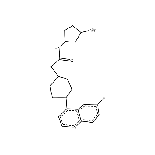 CCCC1CCC(NC(=O)CC2CCC(c3ccnc4ccc(F)cc34)CC2)C1